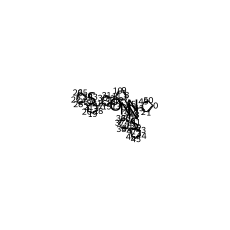 c1ccc(-c2nc(-c3cccc4c3oc3cc(-c5cccc6c5sc5ccccc56)ccc34)nc(-c3cccc4c3sc3ccccc34)n2)cc1